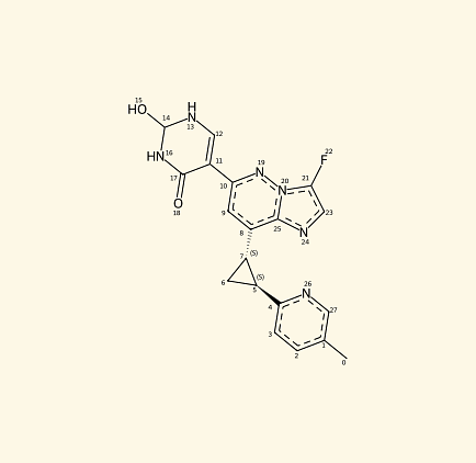 Cc1ccc([C@H]2C[C@@H]2c2cc(C3=CNC(O)NC3=O)nn3c(F)cnc23)nc1